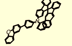 c1ccc(N(c2ccc(-c3ccc4oc5ccccc5c4c3)cc2)c2ccc3c(c2)C2(c4ccccc4-3)c3ccccc3-c3cc4ccccc4cc32)cc1